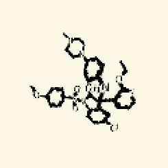 CCOc1ncccc1C1(Nc2ccc(N3CCN(C)CC3)cc2)C(=O)N(S(=O)(=O)c2ccc(OC)cc2)c2ccc(Cl)cc21